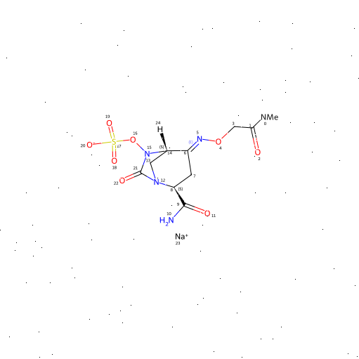 CNC(=O)CO/N=C1\C[C@@H](C(N)=O)N2C[C@@H]1N(OS(=O)(=O)[O-])C2=O.[Na+]